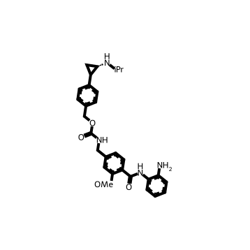 COc1cc(CNC(=O)OCc2ccc(C3C[C@@H]3NC(C)C)cc2)ccc1C(=O)Nc1ccccc1N